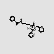 O=C(N[C@@H](CCCCN[C@@H]1C[C@H]1c1ccccc1)C(=O)NCc1ccccn1)c1ccccn1